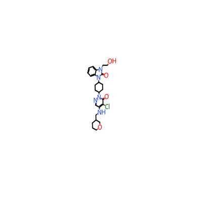 O=c1c(Cl)c(NCC2CCCOC2)cnn1C1CCC(n2c(=O)n(CCO)c3ccccc32)CC1